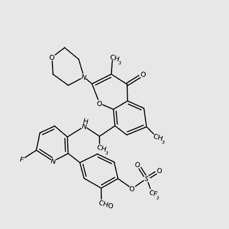 Cc1cc(C(C)Nc2ccc(F)nc2-c2ccc(OS(=O)(=O)C(F)(F)F)c(C=O)c2)c2oc(N3CCOCC3)c(C)c(=O)c2c1